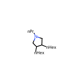 CCCCCCC1CN(CCC)CC1CCCCCC